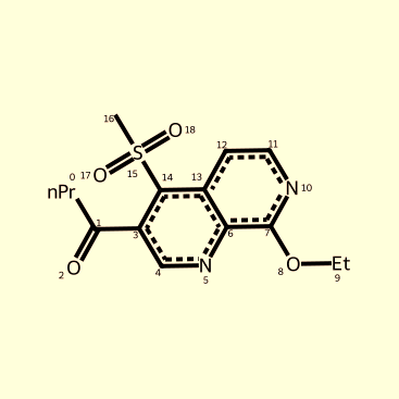 CCCC(=O)c1cnc2c(OCC)nccc2c1S(C)(=O)=O